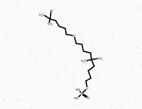 CCC(C)(C)CCCCOCCCCC(C)(C)CCCCOP(=O)(O)O